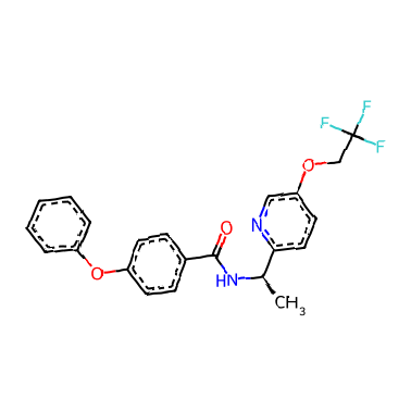 C[C@@H](NC(=O)c1ccc(Oc2ccccc2)cc1)c1ccc(OCC(F)(F)F)cn1